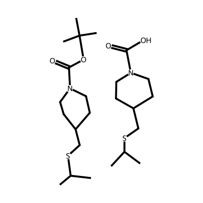 CC(C)SCC1CCN(C(=O)O)CC1.CC(C)SCC1CCN(C(=O)OC(C)(C)C)CC1